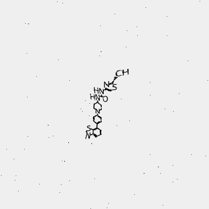 C#Cc1nc(NC(=O)NC2CCN(c3ccc(-c4cccc5ncsc45)cc3)CC2)cs1